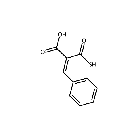 O=C(O)C(=Cc1ccccc1)C(=O)S